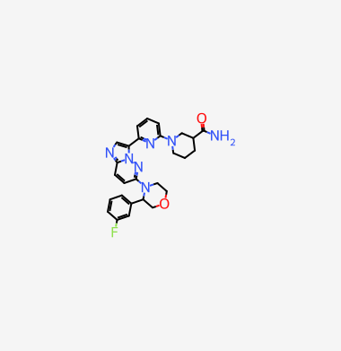 NC(=O)C1CCCN(c2cccc(-c3cnc4ccc(N5CCOCC5c5cccc(F)c5)nn34)n2)C1